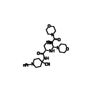 CCCN1CCC(C#N)(NC(=O)C(CC(C)(C)C)NC(NC(=O)N2CCOCC2)N2CCOCC2)CC1